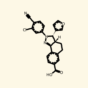 N#Cc1ccc(N2N=C3c4ccc(C(=O)O)cc4CC[C@H]3[C@H]2c2ccoc2)cc1Cl